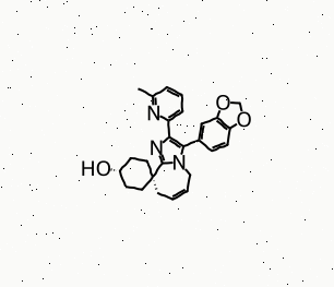 Cc1cccc(-c2nc3n(c2-c2ccc4c(c2)OCO4)CC=CC[C@]32CC[C@@H](O)CC2)n1